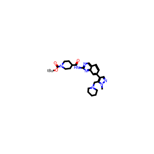 Cn1ncc(-c2ccc3cnc(NC(=O)C4CCN(C(=O)OC(C)(C)C)CC4)nc3c2)c1CN1CCCCC1